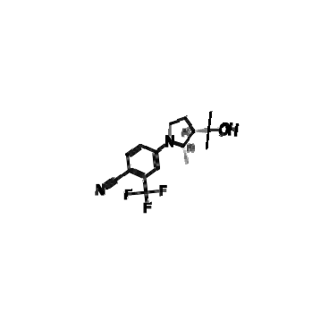 C[C@H]1[C@@H](C(C)(C)O)CCN1c1ccc(C#N)c(C(F)(F)F)c1